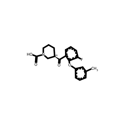 Cc1cccc(Oc2c(F)cccc2C(=O)[C@@H]2CCCN(C(=O)O)C2)c1